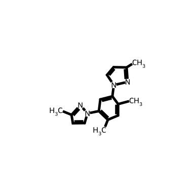 Cc1ccn(-c2cc(-n3ccc(C)n3)c(C)cc2C)n1